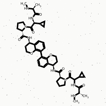 CN[C@@H](C)C(=O)NC(C(=O)N1CCC[C@H]1C(=O)N[C@@H]1CCOc2c(-c3cccc4c3OCC[C@H]4NC(=O)[C@@H]3CCCN3C(=O)[C@@H](NC(=O)[C@H](C)NC)C3CC3)cccc21)C1CC1